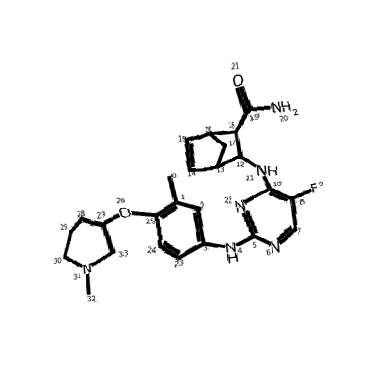 Cc1cc(Nc2ncc(F)c(NC3C4C=CC(C4)C3C(N)=O)n2)ccc1OC1CCCN(C)C1